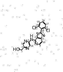 OCc1cnc(Nc2nccc3nc(-c4c(Cl)cccc4Cl)sc23)cn1